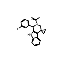 CC(=S)N1CC2(CC2)c2c([nH]c3ccccc23)C1c1cccc(F)c1